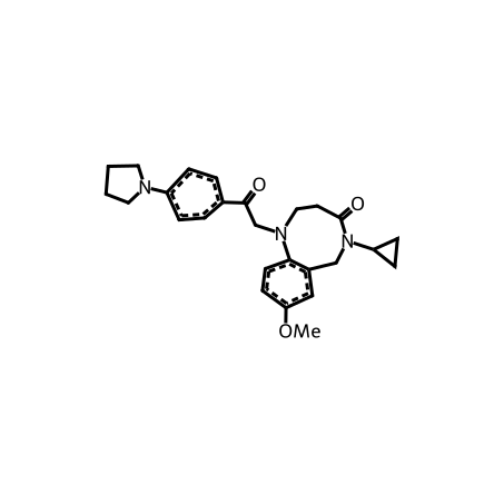 COc1ccc2c(c1)CN(C1CC1)C(=O)CCN2CC(=O)c1ccc(N2CCCC2)cc1